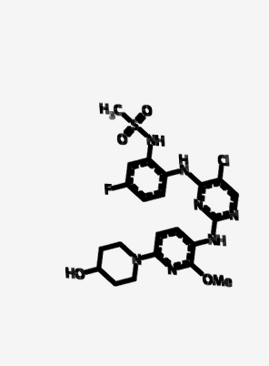 COc1nc(N2CCC(O)CC2)ccc1Nc1ncc(Cl)c(Nc2ccc(F)cc2NS(C)(=O)=O)n1